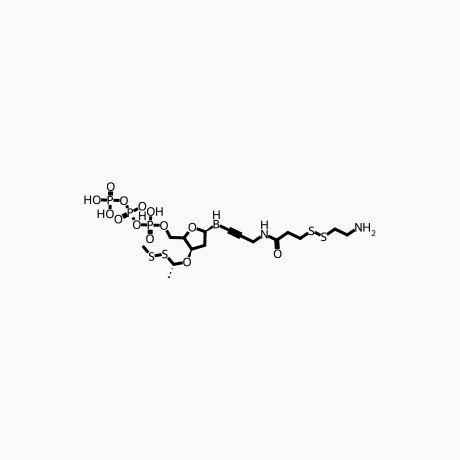 CSS[C@@H](C)O[C@@H]1C[C@H](BC#CCNC(=O)CCSSCCN)OC1COP(=O)(O)OP(=O)(O)OP(=O)(O)O